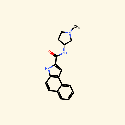 CN1CC[C@H](NC(=O)c2cc3c(ccc4ccccc43)[nH]2)C1